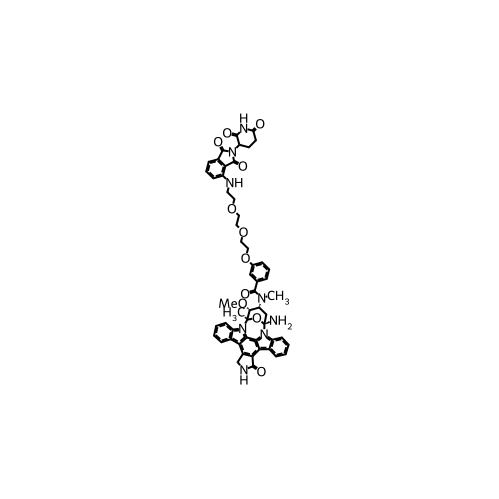 CO[C@@H]1[C@H](N(C)C(=O)c2cccc(OCCOCCOCCNc3cccc4c3C(=O)N(C3CCC(=O)NC3=O)C4=O)c2)C[C@@]2(N)O[C@]1(C)n1c3ccccc3c3c4c(c5c6ccccc6n2c5c31)C(=O)NC4